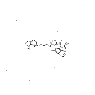 Cc1cc2c(c([C@@H](C(=O)O)N(C)[C@H]3C[C@H](OCCCCc4ccc5c(n4)NCCC5)C(C)(C)C3)c1)[C@H](C)OCC2